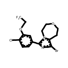 FC(F)(F)COc1cc(-c2nc(Br)c3n2CCOCC3)ccc1Cl